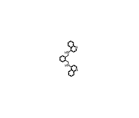 c1ccc(CNc2ccnc3ccccc23)c(CNc2ccnc3ccccc23)c1